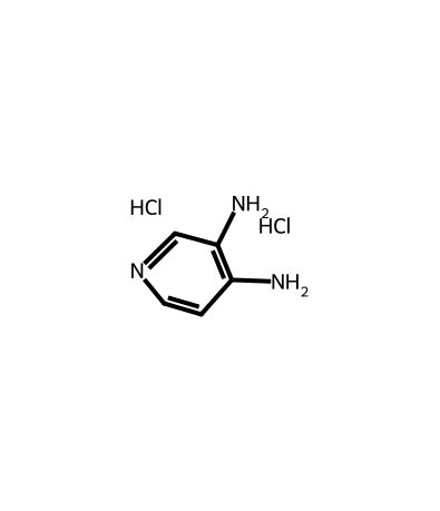 Cl.Cl.Nc1ccncc1N